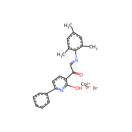 Cc1cc(C)c(N=CC(=O)c2ccc(-c3ccccc3)nc2O)c(C)c1.[Br-].[Br-].[Co+2]